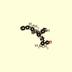 Cc1cc(S(=O)(=O)NC(=O)c2ccc(N3CCN(CC4=C(c5ccc(Cl)cc5)CC(C)(C)CC4)CC3)c(F)c2Oc2ccc3[nH]ccc3c2)ccc1NC1CCN(C2CCOCC2)CC1